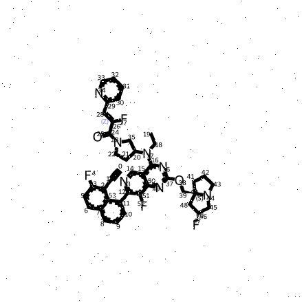 C#Cc1c(F)ccc2cccc(-c3ncc4c(N(CC)C5CCN(C(=O)/C(F)=C/c6ccccn6)C5)nc(OC[C@@]56CCCN5C[C@H](F)C6)nc4c3F)c12